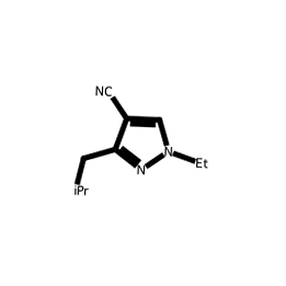 CCn1cc(C#N)c(CC(C)C)n1